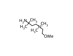 COCC[N+](C)(C)CCC(C)(C)N